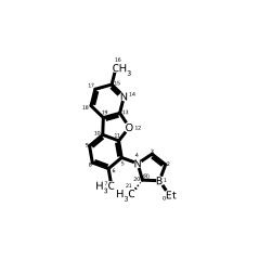 CCB1C=CN(c2c(C)ccc3c2oc2nc(C)ccc23)[C@H]1C